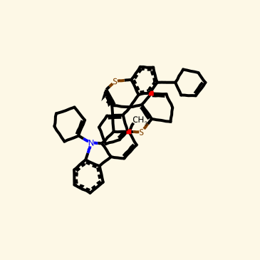 CC1C=CC2c3ccccc3N(C3=CCCCC3)C2C1C1=CCCC2=C1C1(C3=CCCC=C3SC3=C1C=CCC3)c1cc(C3CC=CCC3)ccc1S2